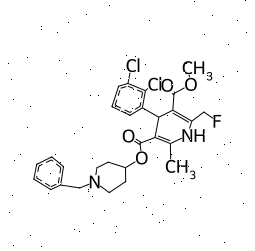 COC(=O)C1=C(CF)NC(C)=C(C(=O)OC2CCN(Cc3ccccc3)CC2)C1c1cccc(Cl)c1Cl